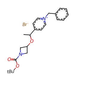 CC(OC1CN(C(=O)OC(C)(C)C)C1)c1cc[n+](Cc2ccccc2)cc1.[Br-]